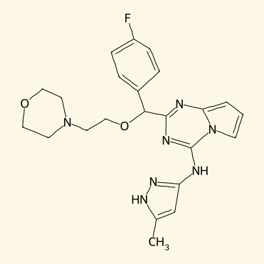 Cc1cc(Nc2nc(C(OCCN3CCOCC3)c3ccc(F)cc3)nc3cccn23)n[nH]1